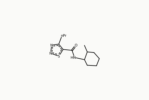 CCCc1nnsc1C(=O)NC1CCCCC1C